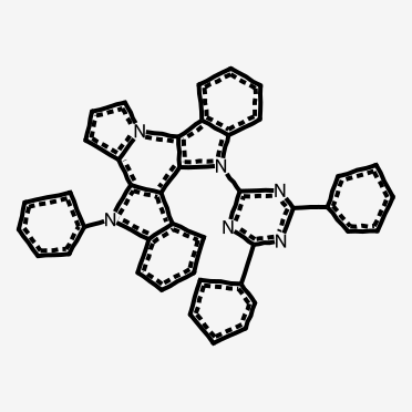 c1ccc(-c2nc(-c3ccccc3)nc(-n3c4ccccc4c4c3c3c5ccccc5n(-c5ccccc5)c3c3cccn34)n2)cc1